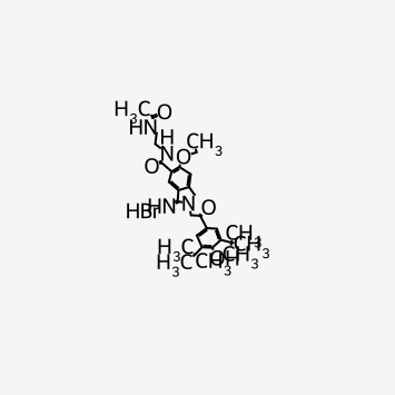 Br.CCOc1cc2c(cc1C(=O)NCCNC(C)=O)C(=N)N(CC(=O)c1cc(C(C)(C)C)c(O)c(C(C)(C)C)c1)C2